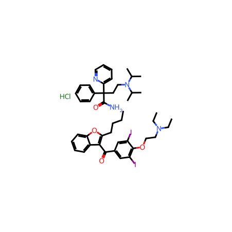 CC(C)N(CCC(C(N)=O)(c1ccccc1)c1ccccn1)C(C)C.CCCCc1oc2ccccc2c1C(=O)c1cc(I)c(OCCN(CC)CC)c(I)c1.Cl